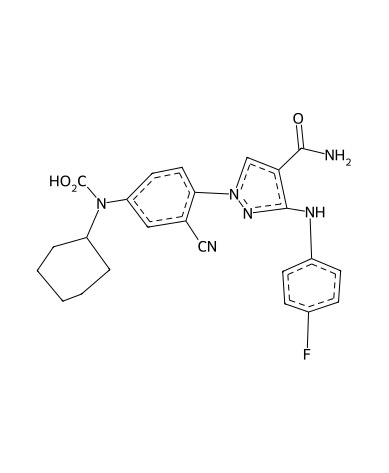 N#Cc1cc(N(C(=O)O)C2CCCCC2)ccc1-n1cc(C(N)=O)c(Nc2ccc(F)cc2)n1